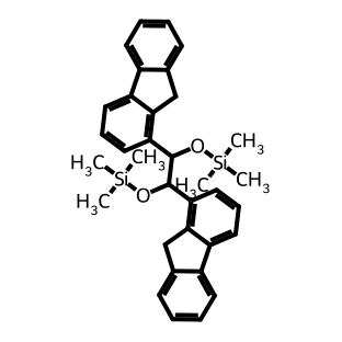 C[Si](C)(C)OC(c1cccc2c1Cc1ccccc1-2)C(O[Si](C)(C)C)c1cccc2c1Cc1ccccc1-2